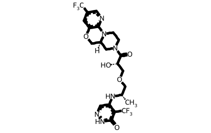 C[C@@H](COC[C@H](O)C(=O)N1CCN2c3ncc(C(F)(F)F)cc3OC[C@@H]2C1)Nc1cn[nH]c(=O)c1C(F)(F)F